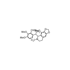 COc1ccc(C(C)C2c3c(cc4c(c3OC)OCO4)CCN2C)c(C=O)c1OC